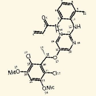 C=CC(=O)Nc1cccc(C)c1Nc1ncc(O[C@@H](C)c2c(Cl)c(OC)cc(OC)c2Cl)cn1